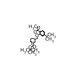 COC(=O)c1ccc(C(C)C)cc1OCC1CCCN(C(=O)OC(C)(C)C)C1